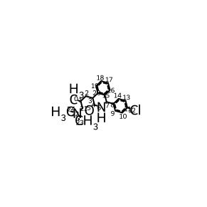 CC(CC1C(=O)NC(c2ccc(Cl)cc2)c2ccccc21)CN(C)C